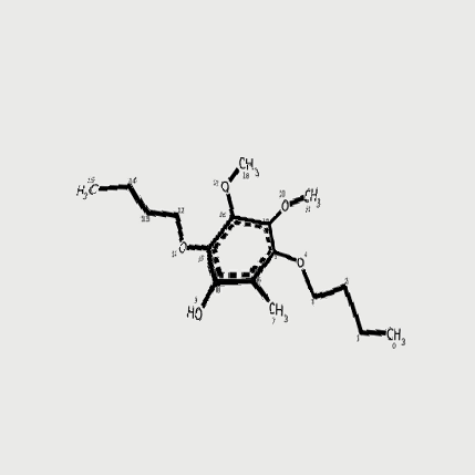 CCCCOc1c(C)c(O)c(OCCCC)c(OC)c1OC